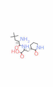 CC(C)(C)C[C@H](N)C(=O)N[C@@H](C[C@@H]1CCCNC1=O)C(=O)O